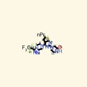 CCCc1cc2c(N3CCn4c(nnc4C(F)(F)C(F)(F)F)C3)nc(N3CCNC(=O)C3)nc2s1